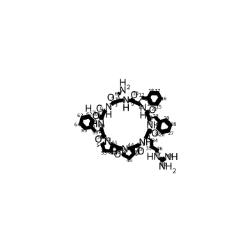 C[C@@H]1NC(=O)[C@H](CN)NC(=O)[C@H](Cc2ccccc2)NC(=O)[C@@H](Cc2ccccc2)NC(=O)[C@@H](CCCNC(=N)N)NC(=O)[C@@H]2CCCN2C(=O)[C@H]2CCCN2C(=O)[C@H](Cc2ccccc2)NC1=O